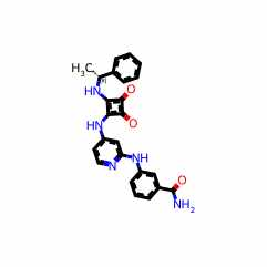 C[C@@H](Nc1c(Nc2ccnc(Nc3cccc(C(N)=O)c3)c2)c(=O)c1=O)c1ccccc1